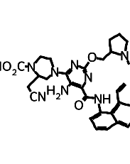 C=Cc1cccc2cccc(NC(=O)c3nc(OCC4CCCN4C)nc(N4CCN(C(=O)O)C(CC#N)C4)c3N)c12